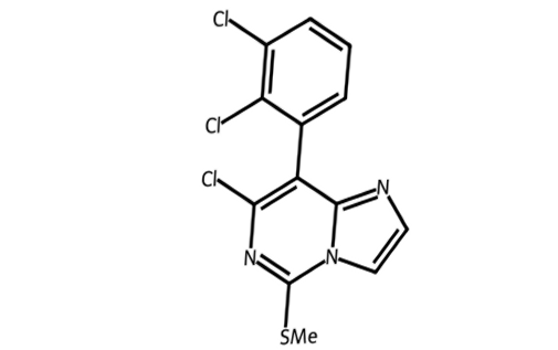 CSc1nc(Cl)c(-c2cccc(Cl)c2Cl)c2nccn12